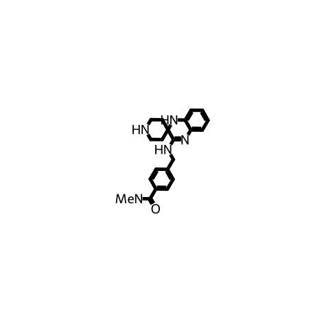 CNC(=O)c1ccc(CNC2=Nc3ccccc3NC23CCNCC3)cc1